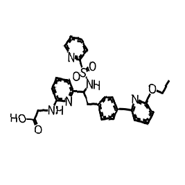 CCOc1cccc(-c2ccc(CC(NS(=O)(=O)c3ccccn3)c3cccc(NCC(=O)O)n3)cc2)n1